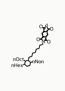 CCCCCCCCCC1CCC(CCCCCC)C(CCCCCCCC)C1CCCCCCCCn1c(=O)c2cc3c(=O)n(C)c(=O)c3cc2c1=O